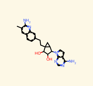 Cc1cc2ccc(CCC34CC3C(n3ccc5c(N)ncnc53)C(O)C4O)cc2nc1N